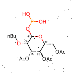 CCCCO[C@@H]1[C@@H](OP(O)O)O[C@H](COC(C)=O)[C@@H](OC(C)=O)[C@@H]1OC(C)=O